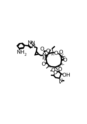 CC[C@H]1OC(=O)[C@@](C)(F)C(=O)[C@H](C)[C@@H](O[C@@H]2OC(C)CC(N(C)C)C2O)[C@](C)(OC)C[C@@H](C)C(=O)[C@H](C)[C@H]2N(CC3CC3Cn3cc(-c4cccc(N)c4)nn3)C(=O)O[C@]12C